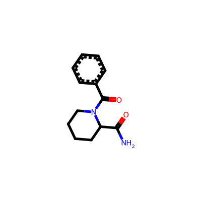 NC(=O)C1CCCCN1C(=O)c1ccccc1